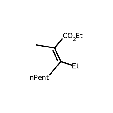 CCCCCC(CC)=C(C)C(=O)OCC